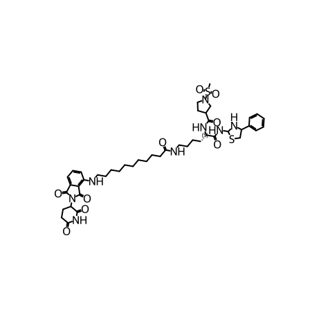 CS(=O)(=O)N1CCC(C(=O)N[C@@H](CCCCNC(=O)CCCCCCCCCCNc2cccc3c2C(=O)N(C2CCC(=O)NC2=O)C3=O)C(=O)NC2NC(c3ccccc3)CS2)C1